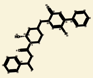 CC(CC(=O)N1CCC(Cn2cc(Br)c(-c3ccccc3)cc2=O)C[C@H]1O)c1ccccc1